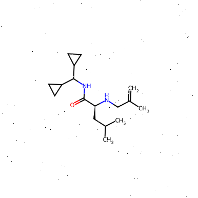 C=C(C)CN[C@@H](CC(C)C)C(=O)NC(C1CC1)C1CC1